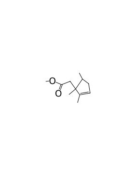 COC(=O)CC1(C)C(C)=CCC1C